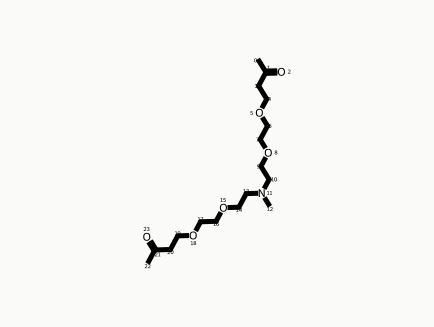 CC(=O)CCOCCOCCN(C)CCOCCOCCC(C)=O